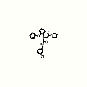 O=C(CN(CC(=O)N1CCCC1)c1ccccc1Oc1ccccc1)NCc1cccc(Cl)c1